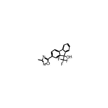 Cc1noc(-c2ccc3c(c2)C(O)(C(F)(F)F)c2ccccc2-3)n1